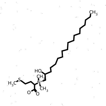 CCCCCCCCCCCCCCCCC(O)C[N+](C)(C)C(CCSC)C(=O)[O-]